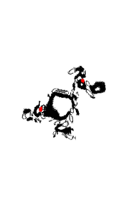 CC[C@H]1OC(=O)[C@H](C)[C@@H](O[C@H]2C[C@@](C)(OC)[C@@H](O)[C@H](C)O2)[C@H](C)[C@@H](O[C@@H]2O[C@H](C)C[C@@H](N3CCOCC3)[C@@H]2N(C)C)[C@](C)(OC)C[C@@H](C)C(=O)[C@H](C)[C@H]2[C@H](SCCN(Cc3c(Cl)cncc3Cl)c3ccc(OC)c(OC4CCCC4)c3)C(=O)O[C@@]21C